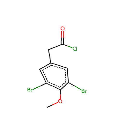 COc1c(Br)cc(CC(=O)Cl)cc1Br